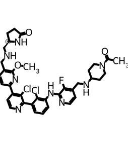 COc1nc(-c2ccnc(-c3cccc(Nc4nccc(CNC5CCN(C(C)=O)CC5)c4F)c3Cl)c2Cl)ccc1CNC[C@H]1CCC(=O)N1